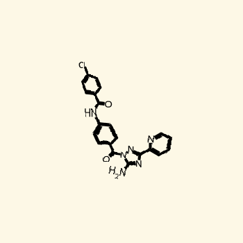 Nc1nc(-c2ccccn2)nn1C(=O)c1ccc(NC(=O)c2ccc(Cl)cc2)cc1